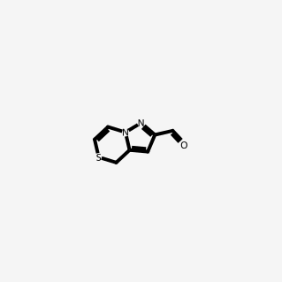 O=Cc1cc2n(n1)C=CSC2